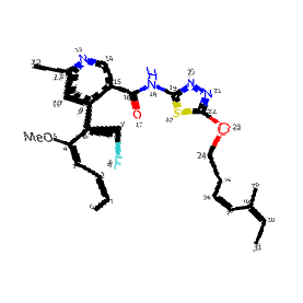 C/C=C\C=C(\OC)C(=CF)c1cc(C)ncc1C(=O)Nc1nnc(OCC/C=C\C(C)=C/C)s1